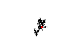 CCOP(=O)(CCNC1CCC(N(c2cc(C(C)(C)C)sc2C(=O)O)C(=O)[C@H]2CC[C@H](C)CC2)CC1)OCC